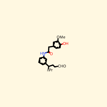 CCCC(CCC=O)c1cccc(NC(=O)Cc2ccc(O)c(OC)c2)c1